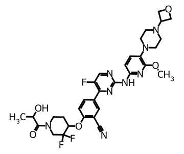 COc1nc(Nc2ncc(F)c(-c3ccc(OC4CCN(C(=O)C(C)O)CC4(F)F)c(C#N)c3)n2)ccc1N1CCN(C2COC2)CC1